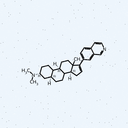 CN(C)[C@@H]1CCC2[C@@H](CCC3[C@@H]2CCC2(C)C(c4ccc5ccncc5c4)=CC[C@@H]32)C1